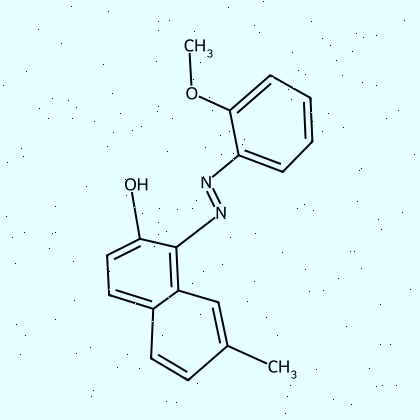 COc1ccccc1/N=N/c1c(O)ccc2ccc(C)cc12